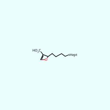 CCCCCCCCCCCC1OC=C1C(=O)O